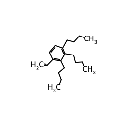 C=Cc1ccc(CCCC)c(CCCC)c1CCCC